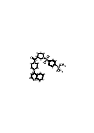 CN(C)c1ccc(S(=O)(=O)N2CCCC(C(=O)N3CCN(c4ccnc5ccccc45)CC3)C2)cc1